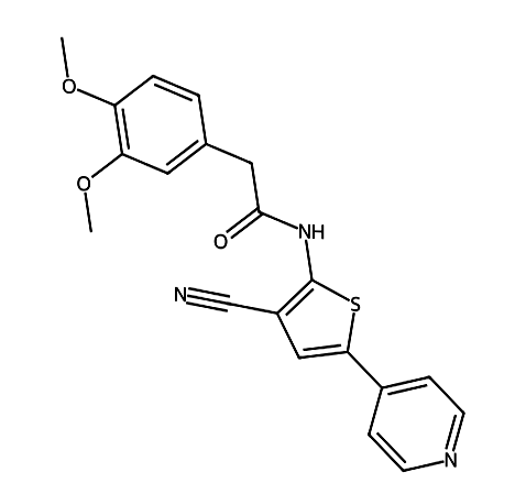 COc1ccc(CC(=O)Nc2sc(-c3ccncc3)cc2C#N)cc1OC